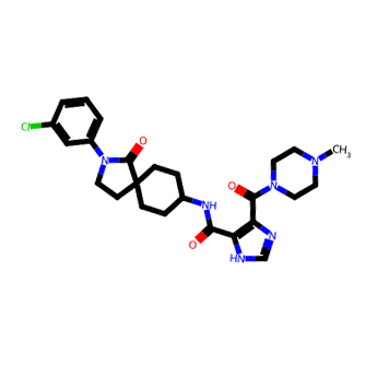 CN1CCN(C(=O)c2nc[nH]c2C(=O)NC2CCC3(CC2)CCN(c2cccc(Cl)c2)C3=O)CC1